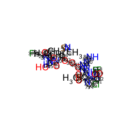 Cc1ncsc1-c1ccc(CNC(=O)[C@@H]2C[C@@H](O)CN2C(=O)[C@@H](NC(=O)CCCCF)C(C)(C)C)c(OCCOCCOc2nc(Nc3cc(S(C)(=O)=O)ccc3N[C@@H](c3cccc4c3OC(F)(F)O4)c3ncccc3Cl)nc(N3CCNCC3)n2)c1